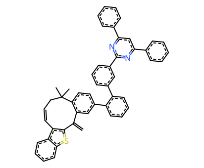 C=C1c2cc(-c3ccccc3-c3cccc(-c4nc(-c5ccccc5)cc(-c5ccccc5)n4)c3)ccc2C(C)(C)C/C=C\c2c1sc1ccccc21